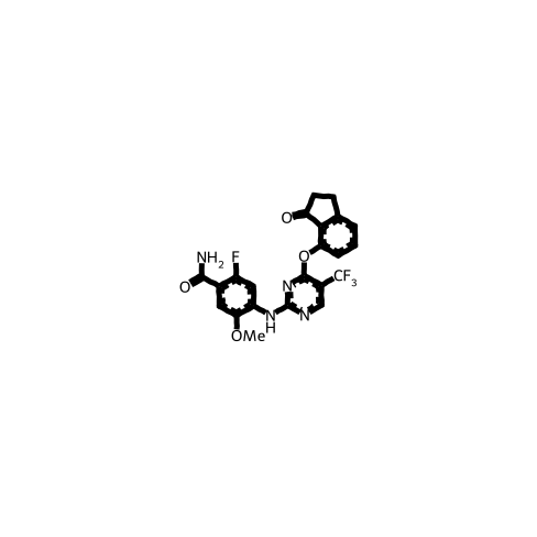 COc1cc(C(N)=O)c(F)cc1Nc1ncc(C(F)(F)F)c(Oc2cccc3c2C(=O)CC3)n1